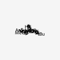 COC(=O)[C@H](Cc1ccc(C(C)=O)s1)NC(=O)c1cc2ccc(Oc3ccc(C(C)(C)C)cc3)cc2c(CC2CCCC2)n1